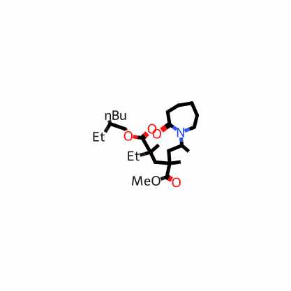 CCCCC(CC)COC(=O)C(C)(CC)CC(C)(CC(C)N1CCCCCC1=O)C(=O)OC